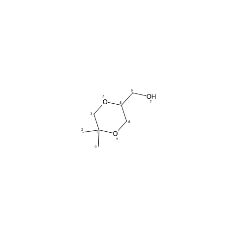 CC1(C)COC(CO)CO1